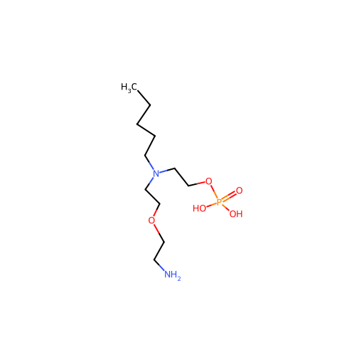 CCCCCN(CCOCCN)CCOP(=O)(O)O